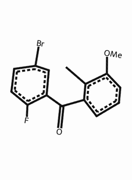 COc1cccc(C(=O)c2cc(Br)ccc2F)c1C